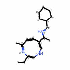 CCc1c[nH]cc(C(C)NCC2CCCCC2)ccc(C)n1